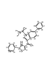 CN(C)C(=O)n1cc(C(=O)C2=CSC(c3cccnc3)N2)c2ccc(-c3ccccc3)cc21